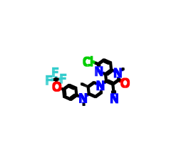 C[C@H]1CN(c2c(C#N)c(=O)n(C)c3ccc(Cl)nc23)CC[C@H]1N(C)c1ccc(OC(F)(F)F)cc1